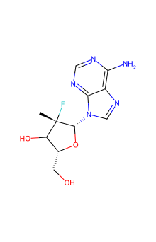 C[C@]1(F)C(O)[C@@H](CO)O[C@H]1n1cnc2c(N)ncnc21